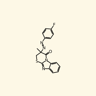 CC1(N=Nc2ccc(F)cc2)CSc2nc3ccccc3n2C1=O